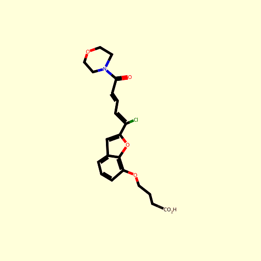 O=C(O)CCCOc1cccc2cc(/C(Cl)=C/C=C/C(=O)N3CCOCC3)oc12